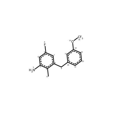 Cc1c(N)cc(F)cc1Cc1cccc(OC(F)(F)F)c1